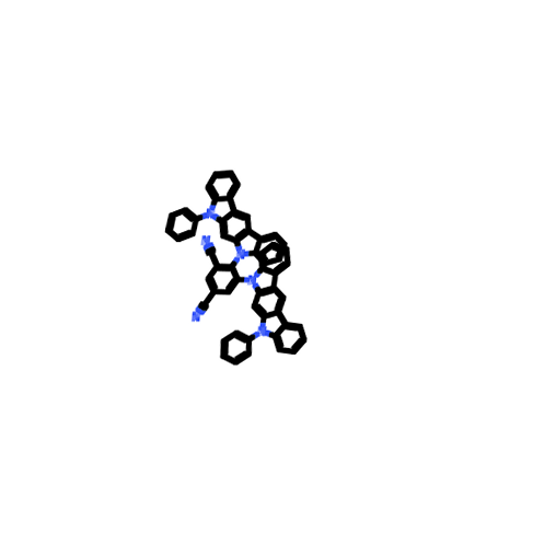 N#Cc1cc(C#N)c(-n2c3ccccc3c3cc4c5ccccc5n(-c5ccccc5)c4cc32)c(-n2c3ccccc3c3cc4c5ccccc5n(-c5ccccc5)c4cc32)c1